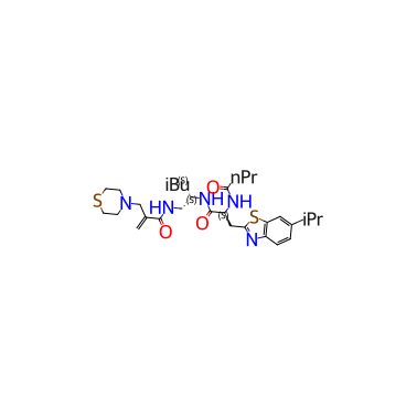 C=C(CN1CCSCC1)C(=O)NC[C@@H](NC(=O)[C@H](Cc1nc2ccc(C(C)C)cc2s1)NC(=O)CCC)[C@@H](C)CC